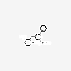 CCOC(=O)N1CCCC(N)C1Cc1cc(OSC)nc(-c2ccccc2)c1